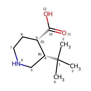 CC(C)(C)[C@@H]1CNCC[C@@H]1C(=O)O